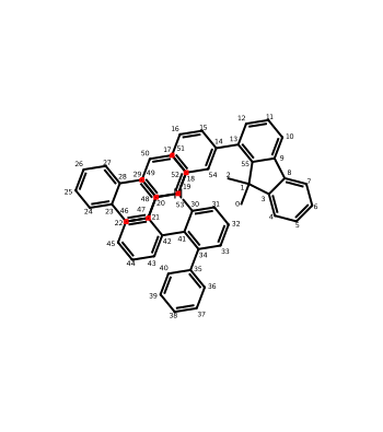 CC1(C)c2ccccc2-c2cccc(-c3cccc(N(c4ccc5ccccc5c4)c4cccc(-c5ccccc5)c4-c4ccccc4-c4ccccc4)c3)c21